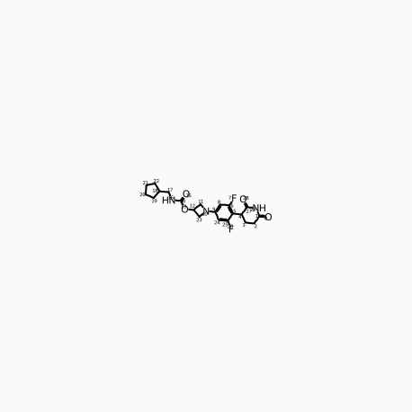 O=C1CCC(c2c(F)cc(N3CC(OC(=O)NCC4CCCC4)C3)cc2F)C(=O)N1